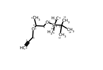 C#CCOC(C)CO[Si](C)(C)C(C)(C)C